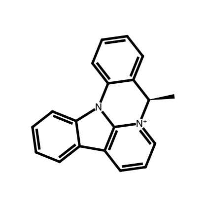 C[C@@H]1c2ccccc2-n2c3ccccc3c3ccc[n+]1c32